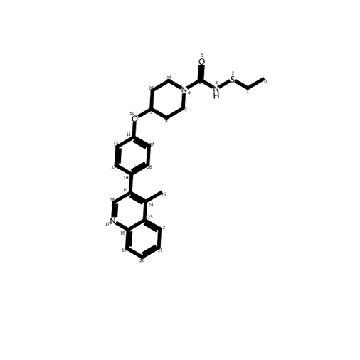 CCSNC(=O)N1CCC(Oc2ccc(-c3cnc4ccccc4c3C)cc2)CC1